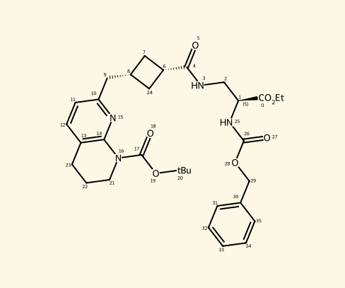 CCOC(=O)[C@H](CNC(=O)[C@H]1C[C@@H](Cc2ccc3c(n2)N(C(=O)OC(C)(C)C)CCC3)C1)NC(=O)OCc1ccccc1